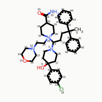 CC(CCC(N1CCC(O)(c2ccc(Cl)cc2)CC1)[N+]1(CCN2CCOCC2)CCC(C(N)=O)CC1)(c1ccccc1)c1ccccc1